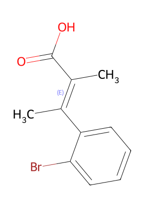 C/C(C(=O)O)=C(/C)c1ccccc1Br